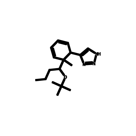 CCCC(OC(C)(C)C)C1(C)C=CC=CC1c1c[nH]nn1